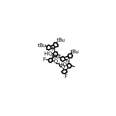 Cc1cc(-c2cc(F)ccc2OCCCOc2ccc(F)cc2-c2cc(C)cc(-n3c4ccc(C(C)(C)C)cc4c4cc(C(C)(C)C)ccc43)c2O)c(O)c(-n2c3ccc(C(C)(C)C)cc3c3cc(C(C)(C)C)ccc32)c1